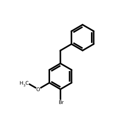 COc1cc(Cc2ccccc2)ccc1Br